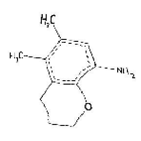 Cc1cc(N)c2c(c1C)CCCO2